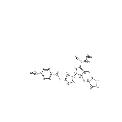 CCCCNC(=O)c1cc(-c2csc(COc3ccc(OC)cc3)n2)n(CC2CCCO2)c1C